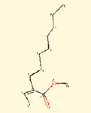 CC=C(CCCCCCCC)C(=O)OC